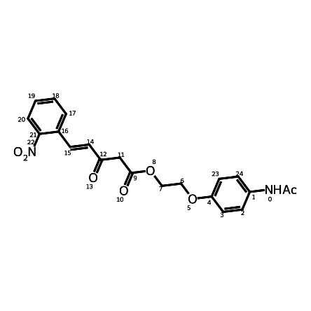 CC(=O)Nc1ccc(OCCOC(=O)CC(=O)C=Cc2ccccc2[N+](=O)[O-])cc1